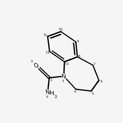 NC(=O)N1CCCCc2ccccc21